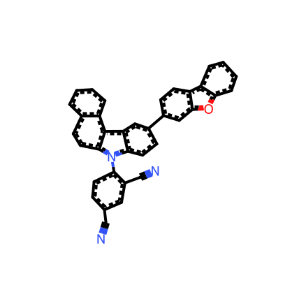 N#Cc1ccc(-n2c3ccc(-c4ccc5c(c4)oc4ccccc45)cc3c3c4ccccc4ccc32)c(C#N)c1